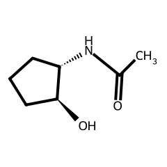 CC(=O)N[C@H]1CCC[C@@H]1O